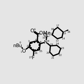 CCCCOc1cc(C(=O)OC)c(N(C(=O)[C@H]2CC[C@H](C)CC2)C2CCCCC2)cc1F